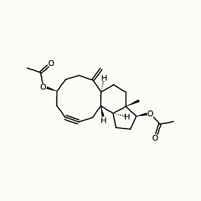 C=C1CC[C@H](OC(C)=O)CC#CC[C@@H]2[C@@H]1CC[C@]1(C)[C@@H](OC(C)=O)CC[C@@H]21